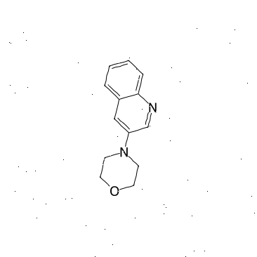 c1ccc2ncc(N3CCOCC3)cc2c1